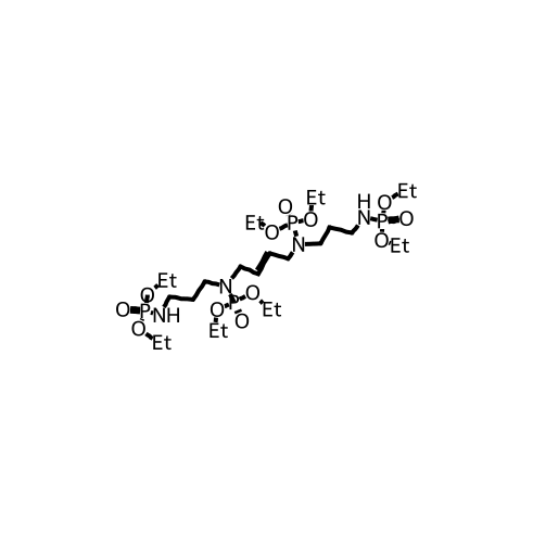 CCOP(=O)(NCCCN(CC=CCN(CCCNP(=O)(OCC)OCC)P(=O)(OCC)OCC)P(=O)(OCC)OCC)OCC